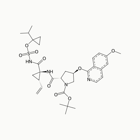 C=C[C@@H]1C[C@]1(NC(=O)[C@@H]1C[C@@H](Oc2nccc3cc(OC)ccc23)CN1C(=O)OC(C)(C)C)C(=O)NS(=O)(=O)OC1(C(C)C)CC1